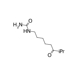 CC(C)C(=O)CCCCCNC(N)=O